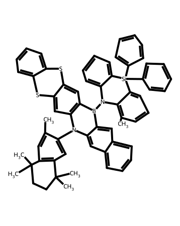 Cc1cc2c(cc1N1c3cc4c(cc3B(N3c5ccccc5[Si](c5ccccc5)(c5ccccc5)c5cccc(C)c53)c3cc5ccccc5cc31)Sc1ccccc1S4)C(C)(C)CCC2(C)C